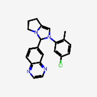 Cc1ccc(Cl)cc1N1C=C2CCCN2C1c1ccc2nccnc2c1